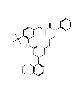 CCCCCC(CC(=O)Nc1cc(CNC(=O)Nc2ccccc2)ccc1C(C)(C)C)c1cccc2c1OCCO2